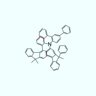 CC1(C)c2ccccc2-c2c(-c3ccccc3N(c3ccc4c(c3)C(C)(c3ccccc3)c3ccccc3-4)c3ccc(-c4ccccc4)cc3-c3ccccc3)cccc21